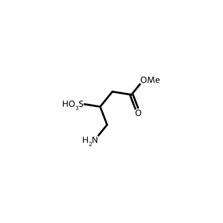 COC(=O)CC(CN)S(=O)(=O)O